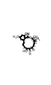 Cc1cc(O)c2c(c1)/C=C/CC(O)C(O)C(=O)/C=C\C(C)(F)C(C)OC2=O